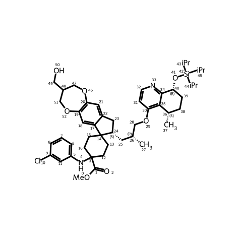 COC(=O)C1(Nc2cccc(Cl)c2)CCC2(CC1)c1cc3c(cc1C[C@@H]2C[C@@H](C)COc1ccnc2c1[C@@H](C)CC[C@H]2O[Si](C(C)C)(C(C)C)C(C)C)OCC(CO)CO3